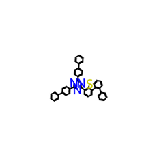 c1ccc(-c2ccc(-c3nc(-c4ccc(-c5ccccc5)cc4)nc(-c4cccc5c4sc4cccc(-c6ccccc6)c45)n3)cc2)cc1